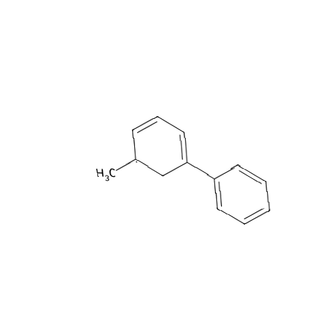 C[C]1C=CC=C(c2ccccc2)C1